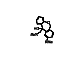 CNCC1(O)c2cc(NC)ccc2COc2ccccc21